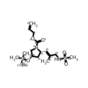 C=CCOC(=O)N1C[C@H](O[Si](C)(C)C(C)(C)C)C[C@H]1/C=C(\C)CNS(C)(=O)=O